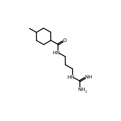 CC1CCC(C(=O)NCCCNC(=N)N)CC1